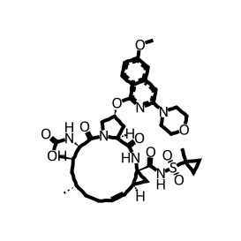 COc1ccc2c(O[C@@H]3C[C@H]4C(=O)N[C@]5(C(=O)NS(=O)(=O)C6(C)CC6)C[C@H]5/C=C\CC[C@H](C)C[C@@H](C)[C@H](NC(=O)O)C(=O)N4C3)nc(N3CCOCC3)cc2c1